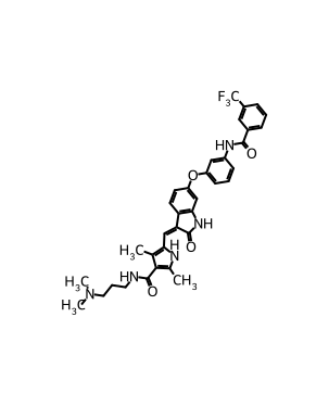 Cc1[nH]c(C=C2C(=O)Nc3cc(Oc4cccc(NC(=O)c5cccc(C(F)(F)F)c5)c4)ccc32)c(C)c1C(=O)NCCCN(C)C